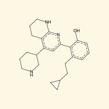 Oc1cccc(CCC2CC2)c1-c1cc(C2CCCNC2)c2c(n1)NCCC2